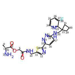 C[C@H](N)C(=O)OCC(=O)NCc1cnc(-c2ccc(NCC3(c4ncccc4F)CCC3)nn2)s1